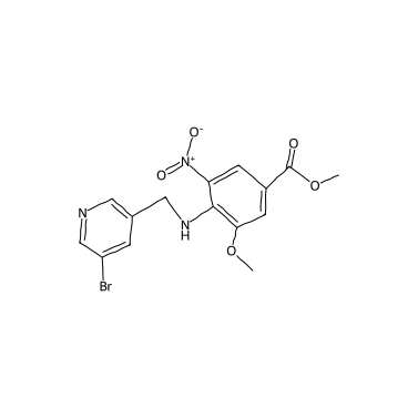 COC(=O)c1cc(OC)c(NCc2cncc(Br)c2)c([N+](=O)[O-])c1